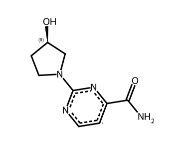 NC(=O)c1[c]cnc(N2CC[C@@H](O)C2)n1